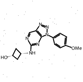 COc1ccc(-n2nnc3cnc(N[C@H]4C[C@@H](O)C4)nc32)cc1